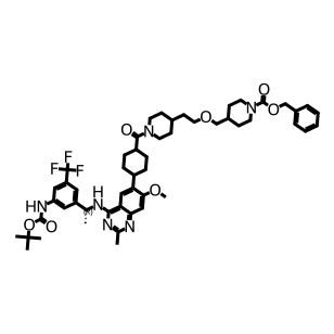 COc1cc2nc(C)nc(N[C@H](C)c3cc(NC(=O)OC(C)(C)C)cc(C(F)(F)F)c3)c2cc1C1CCC(C(=O)N2CCC(CCOCC3CCN(C(=O)OCc4ccccc4)CC3)CC2)CC1